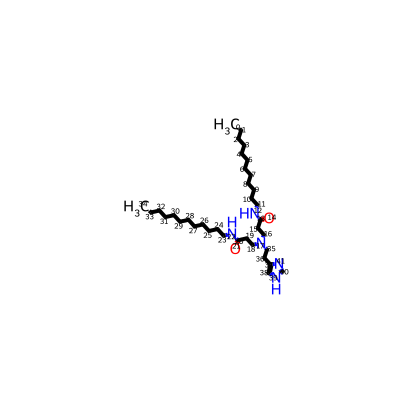 CCCCCCCCCCCCNC(=O)CCN(CCC(=O)NCCCCCCCCCCCC)CCc1c[nH]cn1